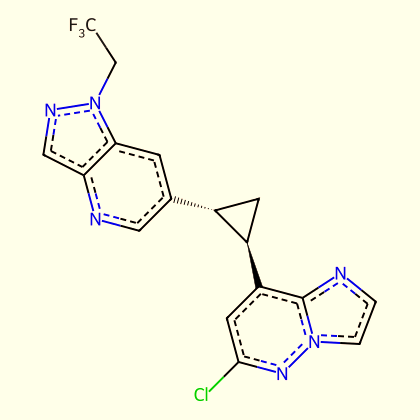 FC(F)(F)Cn1ncc2ncc([C@@H]3C[C@H]3c3cc(Cl)nn4ccnc34)cc21